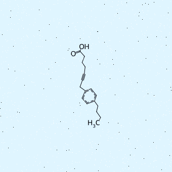 CCCCc1ccc(CC#CCCCC(=O)O)cc1